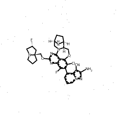 N#Cc1c(N)nn2cccc(-c3c(Cl)c4c5c(nc(OC[C@@]67CCCN6C[C@H](F)C7)nc5c3F)N3C[C@H]5CC[C@H](N5)[C@H]3CO4)c12